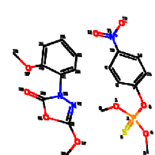 COP(=S)(OC)Oc1ccc([N+](=O)[O-])cc1.COc1nn(-c2ccccc2OC)c(=O)o1